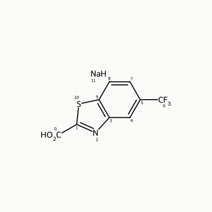 O=C(O)c1nc2cc(C(F)(F)F)ccc2s1.[NaH]